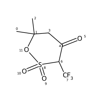 CC1(C)CC(=O)C(C(F)(F)F)S(=O)(=O)O1